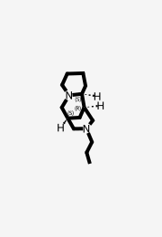 CCCN1C[C@@H]2C[C@H](C1)[C@@H]1CCCCN1C2